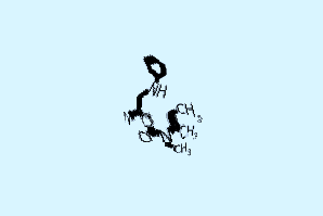 CCC(C)N(CC)C(=O)OC(C#N)CNc1ccccc1